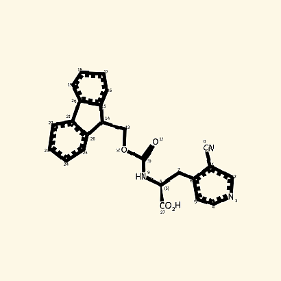 N#Cc1cnccc1C[C@H](NC(=O)OCC1c2ccccc2-c2ccccc21)C(=O)O